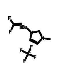 C=C(F)F.CCCCN1C=CN(C)C1.F[B-](F)(F)F